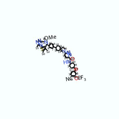 COC[C@@H]1N=C(c2ccc(C3CCC4(CC3)CCN(c3ccc(C(=O)NC5CCC(Oc6ccc(C#N)c(OC(F)(F)F)c6)CC5)nn3)C4)cc2)c2c(sc(C)c2C)-n2c(C)nnc21